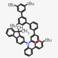 CC(C)(C)c1ccc(-c2ccccc2N(c2cccc(-c3cccc(-c4cc(-c5cc(C(C)(C)C)cc(C(C)(C)C)c5)cc(C(C)(C)C)c4)c3)c2)c2ccc3c(c2)C(C)(C)c2ccccc2-3)cc1